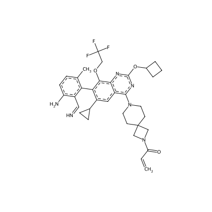 C=CC(=O)N1CC2(CCN(c3nc(OC4CCC4)nc4c(OCC(F)(F)F)c(-c5c(C)ccc(N)c5C=N)c(C5CC5)cc34)CC2)C1